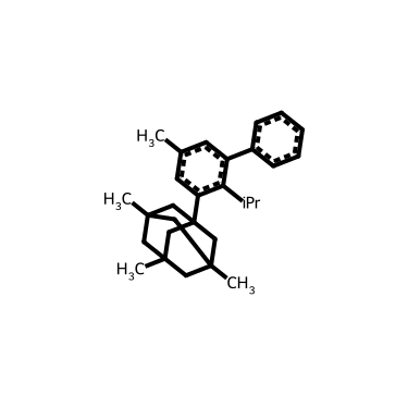 Cc1cc(-c2ccccc2)c(C(C)C)c(C23CC4(C)CC(C)(CC(C)(C4)C2)C3)c1